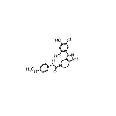 COc1ccc(NC(=O)N2CCc3[nH]nc(-c4cc(Cl)c(O)cc4O)c3C2)cc1